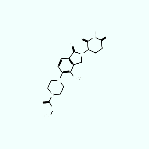 COc1c(N2CCN(C(=O)OC(C)(C)C)CC2)ccc2c1CN(C1CCC(=O)NC1=O)C2=O